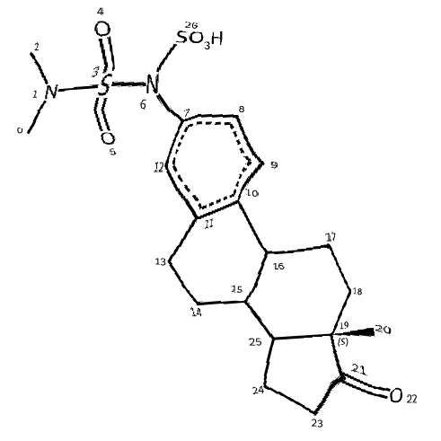 CN(C)S(=O)(=O)N(c1ccc2c(c1)CCC1C2CC[C@]2(C)C(=O)CCC12)S(=O)(=O)O